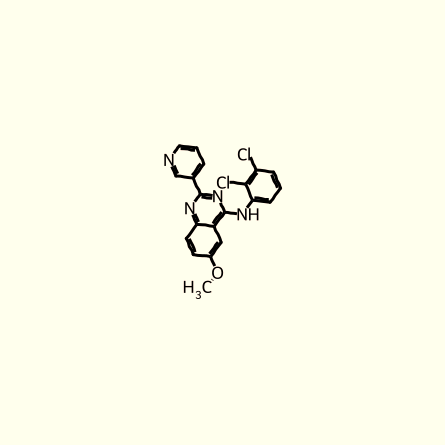 COc1ccc2nc(-c3cccnc3)nc(Nc3cccc(Cl)c3Cl)c2c1